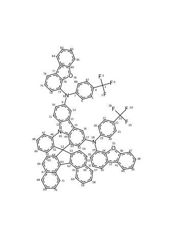 FC(F)(F)c1ccc(N(c2ccc3c(c2)c2cc(N(c4ccc(C(F)(F)F)cc4)c4cccc5c4oc4ccccc45)cc4c2n3-c2ccccc2C42c3ccc4ccccc4c3-c3c2ccc2ccccc32)c2cccc3c2oc2ccccc23)cc1